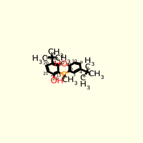 CP(c1cc(C(C)(C)C)ccc1O)c1cc(C(C)(C)C)ccc1O